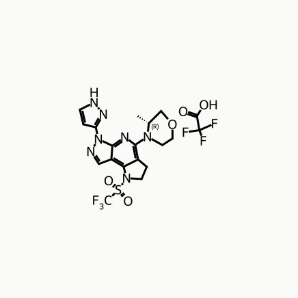 C[C@@H]1COCCN1c1nc2c(cnn2-c2cc[nH]n2)c2c1CCN2S(=O)(=O)C(F)(F)F.O=C(O)C(F)(F)F